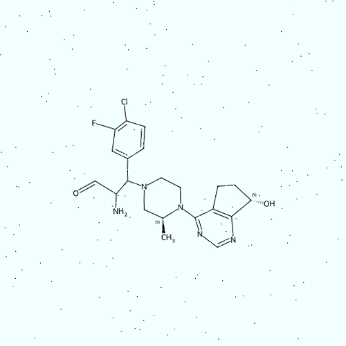 C[C@H]1CN(C(c2ccc(Cl)c(F)c2)C(N)C=O)CCN1c1ncnc2c1CC[C@@H]2O